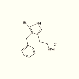 CCCCCCCCCCCCc1c[nH]c(CC)[n+]1Cc1ccccc1.[Cl-]